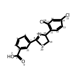 O=C(O)c1cccc(C2=NC(c3ccc(Cl)cc3Cl)CS2)c1